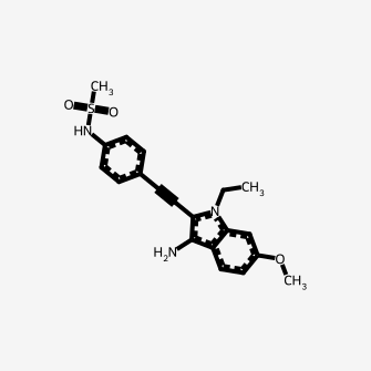 CCn1c(C#Cc2ccc(NS(C)(=O)=O)cc2)c(N)c2ccc(OC)cc21